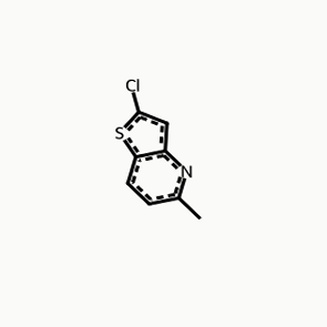 Cc1ccc2sc(Cl)cc2n1